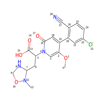 COc1cn(C(CC2NCON2C)C(=O)O)c(=O)cc1-c1cc(Cl)ccc1C#N